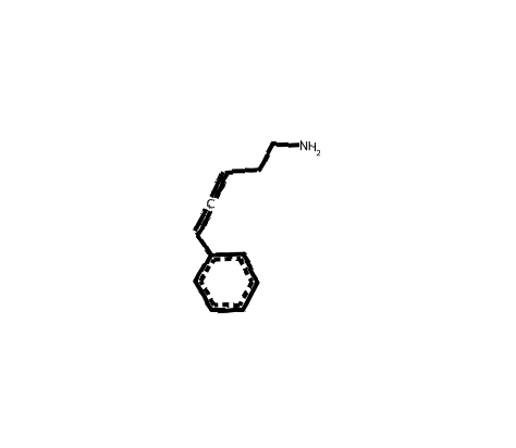 NCCC=C=Cc1ccccc1